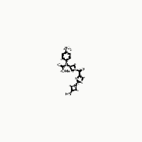 COC(=O)N(c1ccc([N+](=O)[O-])cc1)C1CN(C(=O)c2coc(N3CC(O)C3)n2)C1